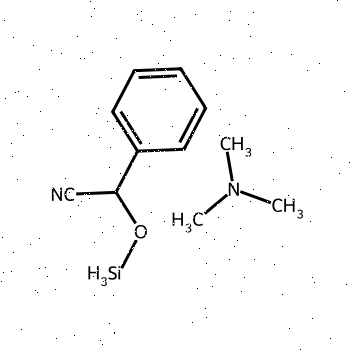 CN(C)C.N#CC(O[SiH3])c1ccccc1